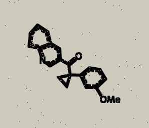 COc1cccc(C2(C(=O)c3cnc4ccccc4c3)CC2)c1